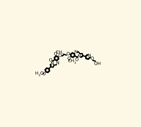 COc1ccc(C2=CN3C(=O)c4cc(OC)c(OCCCOc5cc6c(cc5OC)C(=O)N5C=C(c7ccc(OCCO)nc7)CC5C=N6)cc4N=CC3C2)cc1